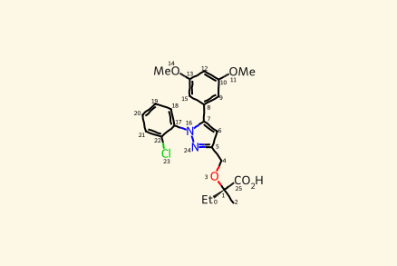 CC[C@@](C)(OCc1cc(-c2cc(OC)cc(OC)c2)n(-c2ccccc2Cl)n1)C(=O)O